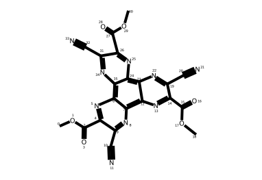 COC(=O)c1nc2c(nc1C#N)c1nc(C(=O)OC)c(C#N)nc1c1nc(C(=O)OC)c(C#N)nc21